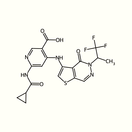 CC(n1ncc2scc(Nc3cc(NC(=O)C4CC4)ncc3C(=O)O)c2c1=O)C(F)(F)F